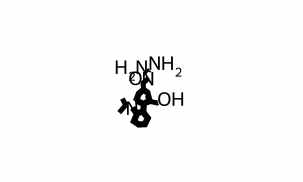 CC(C)n1c2ccccc2c2c(CO)cc(C(=O)N=C(N)N)cc21